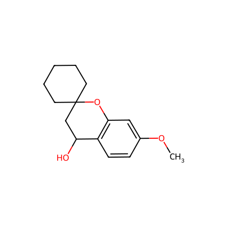 COc1ccc2c(c1)OC1(CCCCC1)CC2O